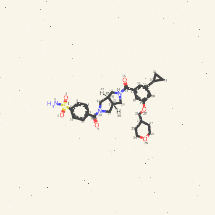 NS(=O)(=O)c1ccc(C(=O)N2C[C@H]3CN(C(=O)c4cc(OCC5CCOCC5)cc(C5CC5)c4)C[C@@H]3C2)cc1